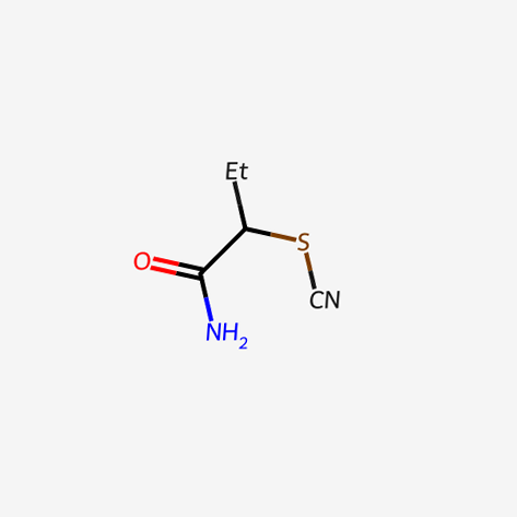 CCC(SC#N)C(N)=O